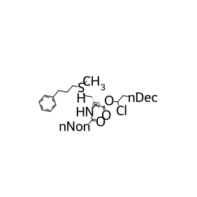 CCCCCCCCCCCC(Cl)OC(=O)[C@@H](CC[SH](C)CCCc1ccccc1)NC(=O)CCCCCCCCC